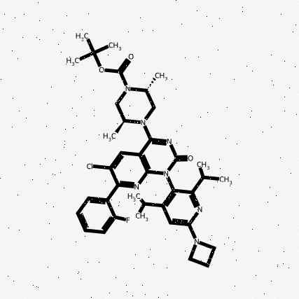 CC(C)c1cc(N2CCC2)nc(C(C)C)c1-n1c(=O)nc(N2C[C@@H](C)N(C(=O)OC(C)(C)C)C[C@@H]2C)c2cc(Cl)c(-c3ccccc3F)nc21